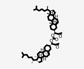 CC(C)CCC[C@@H](C)[C@H]1CC[C@H]2[C@@H]3CC=C4C[C@@H](C(OC(=O)OC(C5CO5)[C@H]5CC[C@@]6(C)C(=CC[C@H]7[C@@H]8CC[C@H]([C@H](C)CCCC(C)C)[C@@]8(C)CC[C@@H]76)C5)C5CO5)CC[C@]4(C)[C@H]3CC[C@]12C